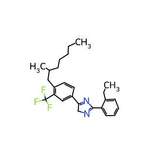 CCCCCC(C)Cc1ccc(C2=NC(c3ccccc3CC)=NC2)cc1C(F)(F)F